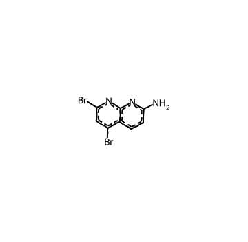 Nc1ccc2c(Br)cc(Br)nc2n1